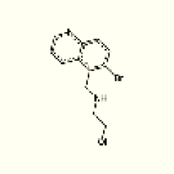 OCCNCc1c(Br)ccc2ncccc12